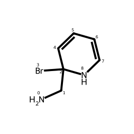 NCC1(Br)C=CC=CN1